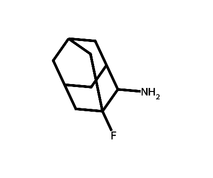 NC1C2CC3CC(C2)CC1(F)C3